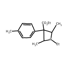 CCOC(=O)C1(c2ccc(C)cc2)C(C)N(CC)C1C